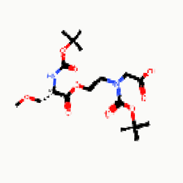 COC[C@H](NC(=O)OC(C)(C)C)C(=O)OCCN(CC(=O)O)C(=O)OC(C)(C)C